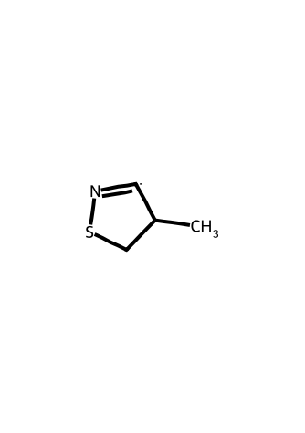 CC1[C]=NSC1